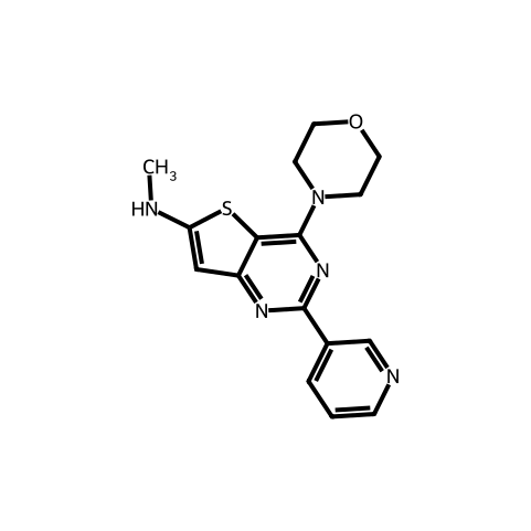 CNc1cc2nc(-c3cccnc3)nc(N3CCOCC3)c2s1